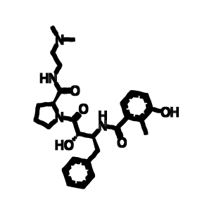 Cc1c(O)cccc1C(=O)N[C@@H](Cc1ccccc1)[C@H](O)C(=O)N1CCC[C@H]1C(=O)NCCN(C)C